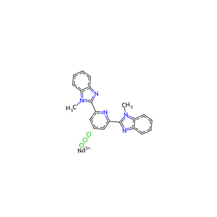 Cn1c(-c2cccc(-c3nc4ccccc4n3C)n2)nc2ccccc21.[Cl-].[Cl-].[Cl-].[Nd+3]